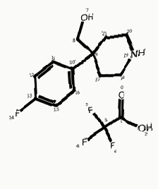 O=C(O)C(F)(F)F.OCC1(c2ccc(F)cc2)CCNCC1